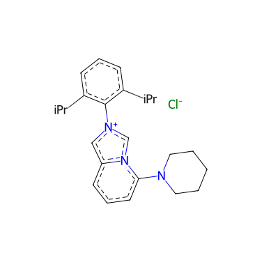 CC(C)c1cccc(C(C)C)c1-[n+]1cc2cccc(N3CCCCC3)n2c1.[Cl-]